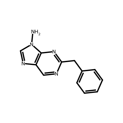 Nn1cnc2cnc(Cc3ccccc3)nc21